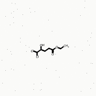 CCOC(=O)CCC(O)C(Cl)Cl